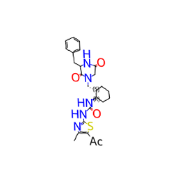 CC(=O)c1sc(NC(=O)N[C@@H]2CCCC[C@H]2CN2CC(=O)NC(Cc3ccccc3)C2=O)nc1C